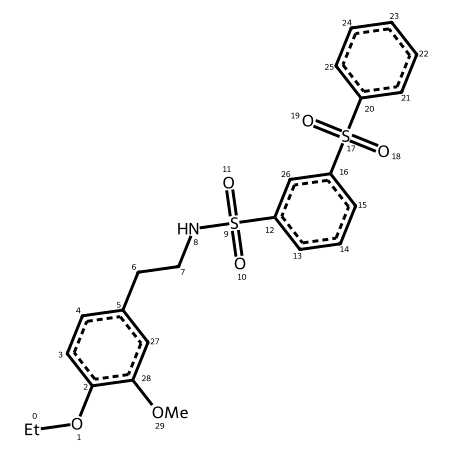 CCOc1ccc(CCNS(=O)(=O)c2cccc(S(=O)(=O)c3ccccc3)c2)cc1OC